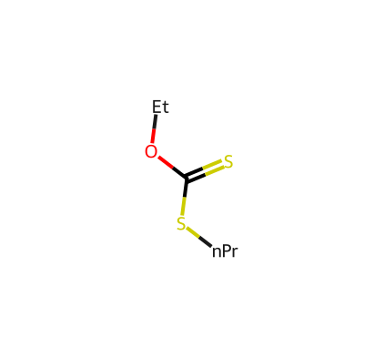 CCCSC(=S)OCC